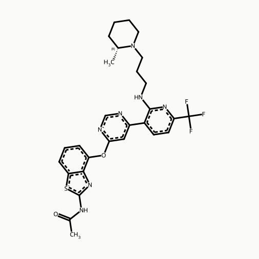 CC(=O)Nc1nc2c(Oc3cc(-c4ccc(C(F)(F)F)nc4NCCCN4CCCC[C@H]4C)ncn3)cccc2s1